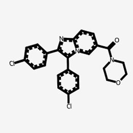 O=C(c1ccc2nc(-c3ccc(Cl)cc3)c(-c3ccc(Cl)cc3)n2c1)N1CCOCC1